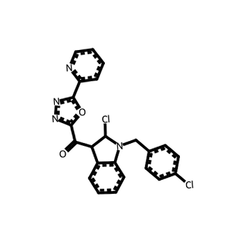 O=C(c1nnc(-c2ccccn2)o1)C1c2ccccc2N(Cc2ccc(Cl)cc2)C1Cl